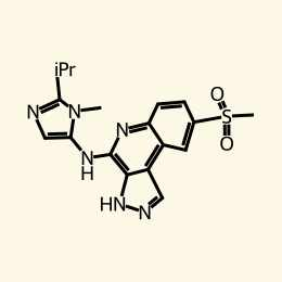 CC(C)c1ncc(Nc2nc3ccc(S(C)(=O)=O)cc3c3cn[nH]c23)n1C